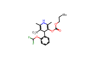 CC1=C(OC(=O)OCCC(C)(C)C)C(c2ccccc2OC(F)F)C([N+](=O)[O-])=C(C)N1